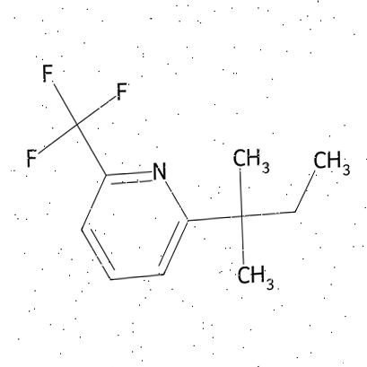 CCC(C)(C)c1cccc(C(F)(F)F)n1